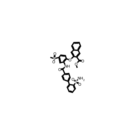 COC(=O)c1cc2ccccc2cc1Oc1ccc(S(C)(=O)=O)cc1NC(=O)c1ccc(-c2ccccc2S(N)(=O)=O)cc1